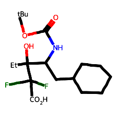 CCC(O)(C(CC1CCCCC1)NC(=O)OC(C)(C)C)C(F)(F)C(=O)O